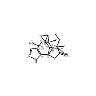 C[C@]1([C@@]23CC[C@]4(C)C(=O)CC[C@H]4[C@@]2(CO)C3)Cc2cn[nH]c2C[C@@H]1CO